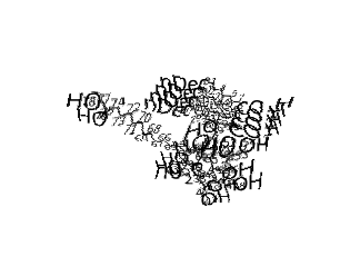 CCCCCCCCCCCCCCCCCC(=O)O.CCCCCCCCCCCCCCCCCC(=O)O.CCCCCCCCCCCCCCCCCC(=O)O.CCCCCCCCCCCCCCCCCC(=O)O.O=C(O)C(CC(O)CO)C(CC(O)CO)C(CC(O)CO)C(CC(O)CO)C(CCCCCCCCCCCCCC(O)CO)CC(O)CO